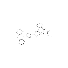 N#Cc1nc2c3ccccc3c3cc(-c4ccc(N5c6ccccc6Oc6ccccc65)cc4)ccc3c2nc1C#N